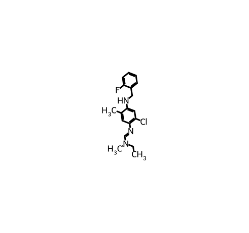 CCN(C)C=Nc1cc(C)c(NCc2ccccc2F)cc1Cl